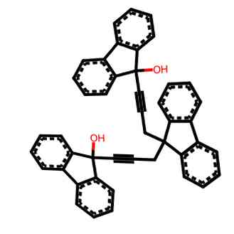 OC1(C#CCC2(CC#CC3(O)c4ccccc4-c4ccccc43)c3ccccc3-c3ccccc32)c2ccccc2-c2ccccc21